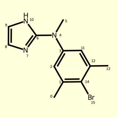 Cc1cc(N(C)c2ncc[nH]2)cc(C)c1Br